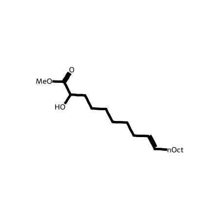 CCCCCCCCC=CCCCCCCC(O)C(=O)OC